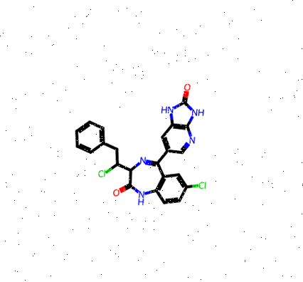 O=C1Nc2ccc(Cl)cc2C(c2cnc3[nH]c(=O)[nH]c3c2)=NC1C(Cl)Cc1ccccc1